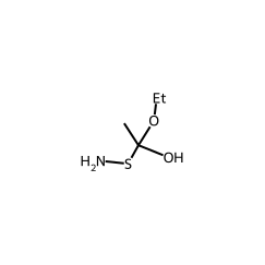 CCOC(C)(O)SN